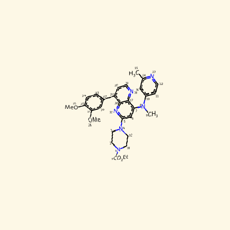 CCOC(=O)N1CCN(c2cc(N(C)c3ccnc(C)c3)c3nccc(-c4ccc(OC)c(OC)c4)c3n2)CC1